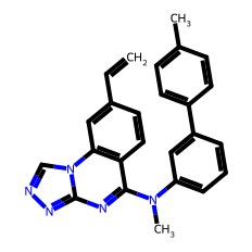 C=Cc1ccc2c(N(C)c3cccc(-c4ccc(C)cc4)c3)nc3nncn3c2c1